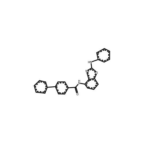 O=C(Nc1cccc2sc(Nc3ccccc3)nc12)c1ccc(-c2ccccc2)cc1